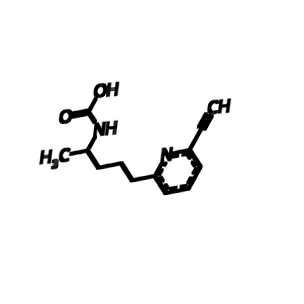 C#Cc1cccc(CCCC(C)NC(=O)O)n1